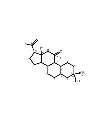 C=C(C)[C@H]1CCC2C3CCC4C[C@](O)(C(F)(F)F)CC[C@]4(C)C3C(=O)CC21C